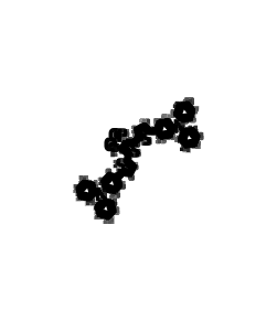 O=Pc1c(-c2ccc(-c3ccc(N(c4ccccc4)c4ccccc4)cc3)s2)sc(-c2ccc(-c3ccc(N(c4ccccc4)c4ccccc4)cc3)s2)c1P=O